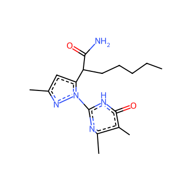 CCCCCC(C(N)=O)c1cc(C)nn1-c1nc(C)c(C)c(=O)[nH]1